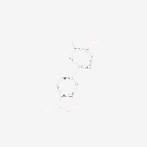 [O-][S+]1COc2cc(-c3ccc(O)c(F)c3)ccc21